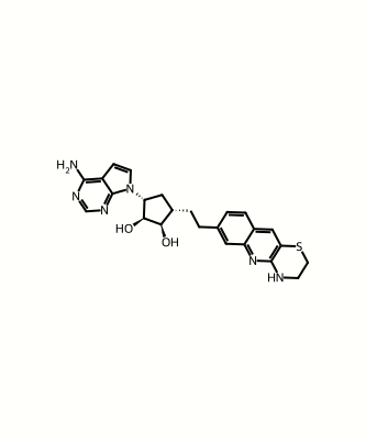 Nc1ncnc2c1ccn2[C@@H]1C[C@H](CCc2ccc3cc4c(nc3c2)NCCS4)[C@@H](O)[C@H]1O